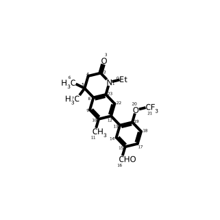 CCN1C(=O)CC(C)(C)c2cc(C)c(-c3cc(C=O)ccc3OC(F)(F)F)cc21